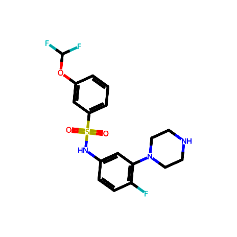 O=S(=O)(Nc1ccc(F)c(N2CCNCC2)c1)c1cccc(OC(F)F)c1